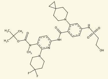 CN(C(=O)OC(C)(C)C)c1ccc(NC(=O)c2ccc(NS(=O)(=O)CCO)cc2N2CCC3(CC2)CC3)nc1N1CCC(F)(F)CC1